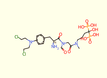 CN(CCCC(O)(P(=O)(O)O)P(=O)(O)O)C(=O)CN(C=O)C(=O)[C@@H](N)Cc1ccc(N(CCCl)CCCl)cc1